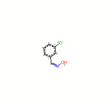 O/N=C\c1[c]ccc(Cl)c1